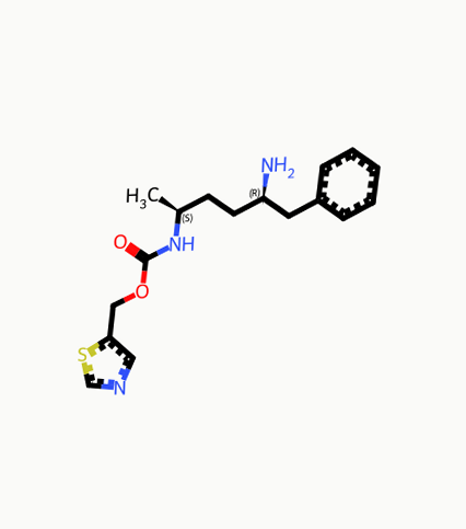 C[C@@H](CC[C@@H](N)Cc1ccccc1)NC(=O)OCc1cncs1